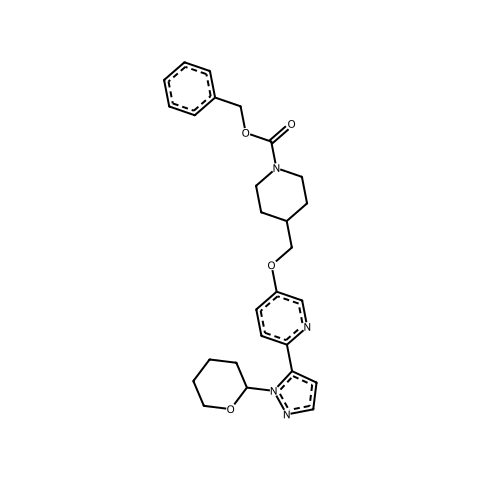 O=C(OCc1ccccc1)N1CCC(COc2ccc(-c3ccnn3C3CCCCO3)nc2)CC1